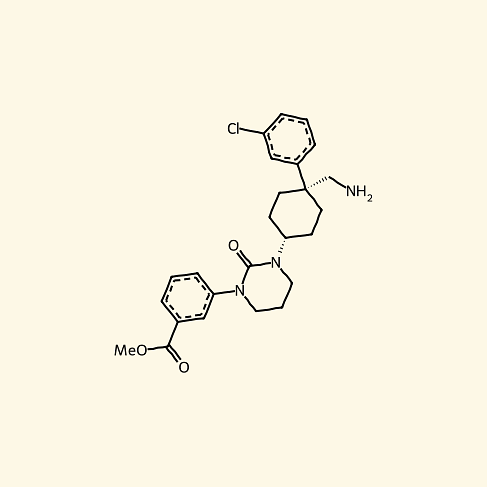 COC(=O)c1cccc(N2CCCN([C@H]3CC[C@](CN)(c4cccc(Cl)c4)CC3)C2=O)c1